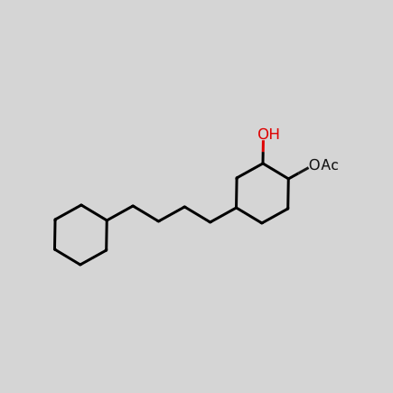 CC(=O)OC1CCC(CCCCC2CCCCC2)CC1O